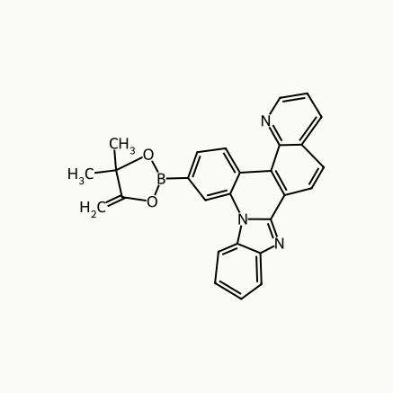 C=C1OB(c2ccc3c4c(ccc5cccnc54)c4nc5ccccc5n4c3c2)OC1(C)C